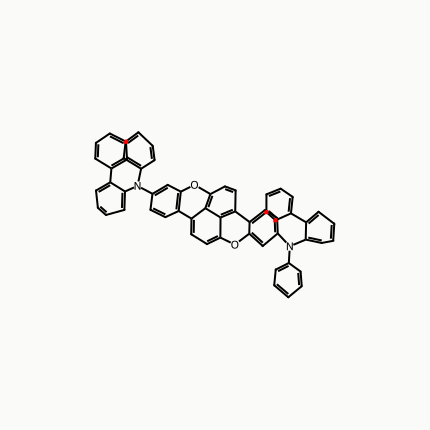 c1ccc(-c2ccccc2N(c2ccccc2)c2ccc3c(c2)Oc2ccc4c5c(ccc-3c25)Oc2cc(N(c3ccccc3)c3ccccc3-c3ccccc3)ccc2-4)cc1